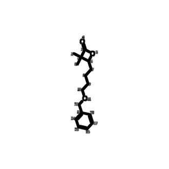 CC1(C)C(=O)OC1CCCCOCc1ccccc1